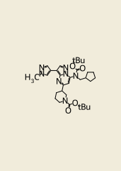 Cn1cc(-c2cnn3c(N(CC4CCCC4)C(=O)OC(C)(C)C)cc(C4CCCN(C(=O)OC(C)(C)C)C4)nc23)cn1